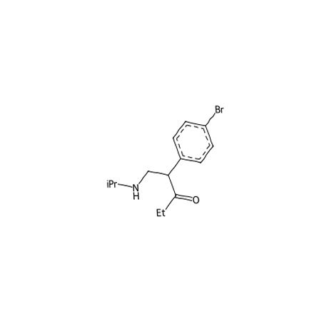 CCC(=O)C(CNC(C)C)c1ccc(Br)cc1